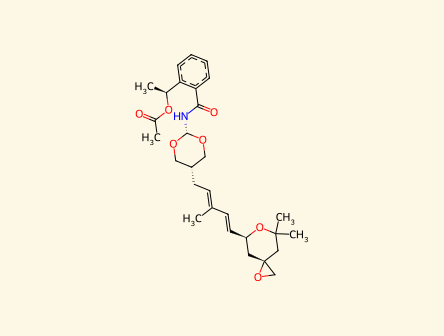 CC(=O)O[C@@H](C)c1ccccc1C(=O)N[C@H]1OC[C@@H](C/C=C(C)/C=C/[C@@H]2C[C@]3(CO3)CC(C)(C)O2)CO1